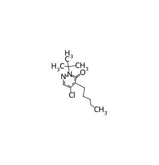 CCCCCc1c(Cl)cnn(C(C)(C)C)c1=O